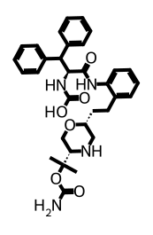 CC(C)(OC(N)=O)[C@@H]1CO[C@H](CCc2ccccc2NC(=O)[C@@H](NC(=O)O)C(c2ccccc2)c2ccccc2)CN1